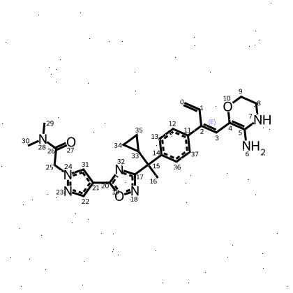 C=C/C(=C\C1=C(N)NCCO1)c1ccc(C(C)(c2noc(-c3cnn(CC(=O)N(C)C)c3)n2)C2CC2)cc1